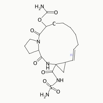 NC(=O)OC1CCCCC/C=C/C2CC2(C(=O)NS(N)(=O)=O)NC(=O)C2CCCN2C1=O